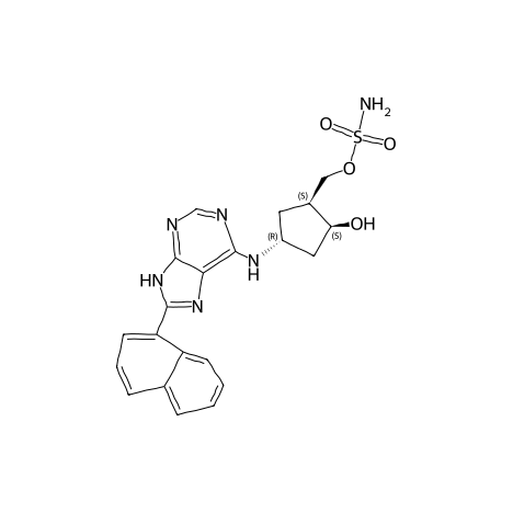 NS(=O)(=O)OC[C@@H]1C[C@@H](Nc2ncnc3[nH]c(-c4cccc5ccccc45)nc23)C[C@@H]1O